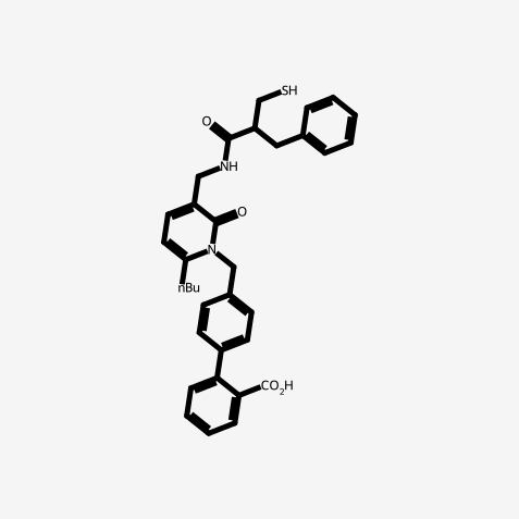 CCCCc1ccc(CNC(=O)C(CS)Cc2ccccc2)c(=O)n1Cc1ccc(-c2ccccc2C(=O)O)cc1